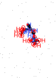 O=CC1(CN[C@@H](Cc2ccc3ccccc3c2)C(=O)NCCCC[C@H](NC(=O)N[C@@H](CCC(=O)O)C(=O)O)C(=O)O)CCC(CNC(=O)CN2CCN(CC(=O)O)CCN(CC(=O)O)CCN(CC(=O)O)CC2)CC1